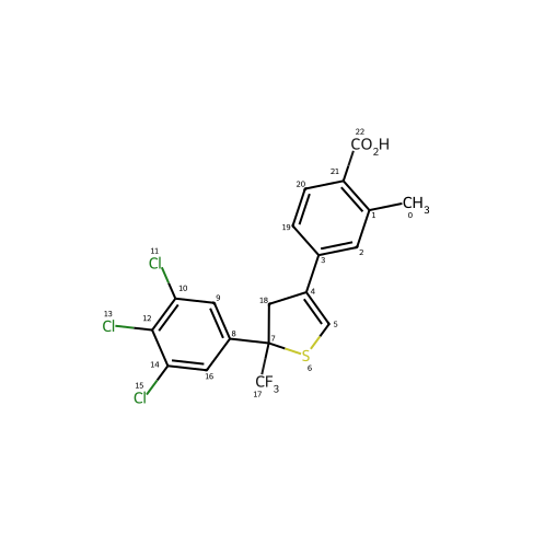 Cc1cc(C2=CSC(c3cc(Cl)c(Cl)c(Cl)c3)(C(F)(F)F)C2)ccc1C(=O)O